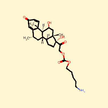 C[C@H]1C[C@@H]2[C@H]([C@@H](O)C[C@@]3(C)[C@H]2CC[C@]3(O)C(=O)COC(=O)OCCCCCN)[C@@]2(C)C=CC(=O)C=C12